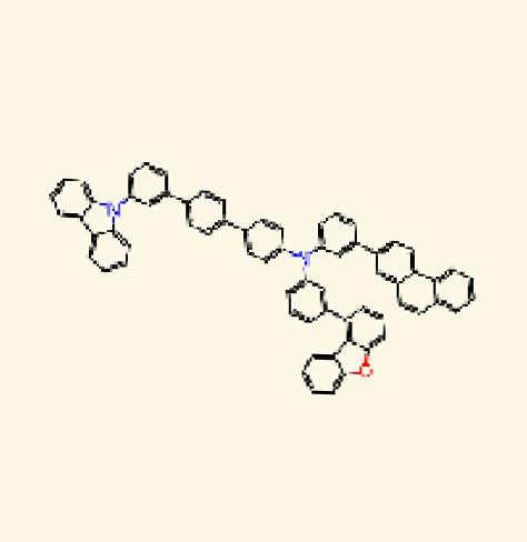 c1cc(-c2ccc3c(ccc4ccccc43)c2)cc(N(c2ccc(-c3ccc(-c4cccc(-n5c6ccccc6c6ccccc65)c4)cc3)cc2)c2cccc(-c3cccc4oc5ccccc5c34)c2)c1